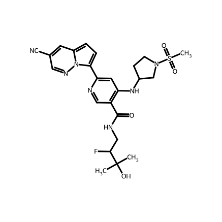 CC(C)(O)C(F)CNC(=O)c1cnc(-c2ccc3cc(C#N)cnn23)cc1NC1CCN(S(C)(=O)=O)C1